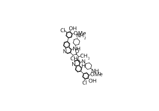 COc1cc(-c2ccc3ncc(C(C)C(=O)C(C)c4cnc5ccc(-c6cc(Cl)c(O)c(OC)c6)cc5c4N[C@H]4CC[C@H](N)CC4)c(N[C@H]4CC[C@H](N)CC4)c3c2)cc(Cl)c1O